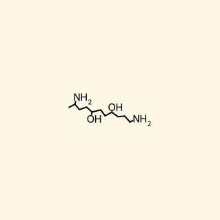 CC(N)CCC(O)CCC(O)CCCN